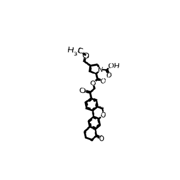 COCC1CC(C(=O)OCC(=O)c2ccc3c(c2)COc2cc4c(cc2-3)CCCC4=O)N(C(=O)O)C1